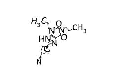 CCCn1c(=O)c2nc(C34CCC(C#N)(CC3)CC4)[nH]c2n(CCC)c1=O